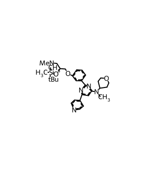 CNCC(COc1cccc(-c2nc(-c3ccncc3)cc(N(C)C3CCOCC3)n2)c1)O[Si](C)(C)C(C)(C)C